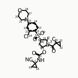 N#CC1(NC(=O)O[C@@H]2C[C@@H](S(=O)(=O)c3ccc(N4CCOCC4)cc3Cl)CN2C(=O)C2(C(F)(F)F)CC2)CC1